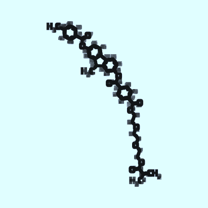 C=C(C)C(=O)OCCOCCOCCOC(=O)c1ccc(C(=O)Oc2ccc3c(c2)C(C)c2cc(OC(=O)c4ccc(C)cc4)ccc2-3)cc1